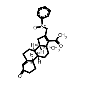 CC(=O)C1=C(C[S+]([O-])c2ccccc2)C[C@H]2[C@@H]3CCC4=CC(=O)CC[C@@H]4[C@H]3CC[C@]12C